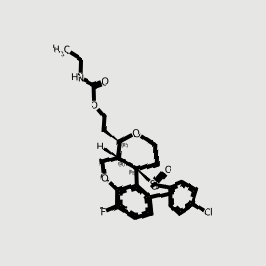 CCNC(=O)OCC[C@H]1OCC[C@]2(S(=O)(=O)c3ccc(Cl)cc3)c3c(F)ccc(F)c3OC[C@H]12